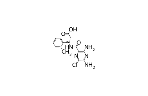 Cc1ccccc1[C@H](CC(=O)O)NC(=O)c1nc(Cl)c(N)nc1N